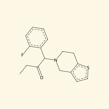 CCC(=O)C(c1ccccc1F)N1CCc2sccc2C1